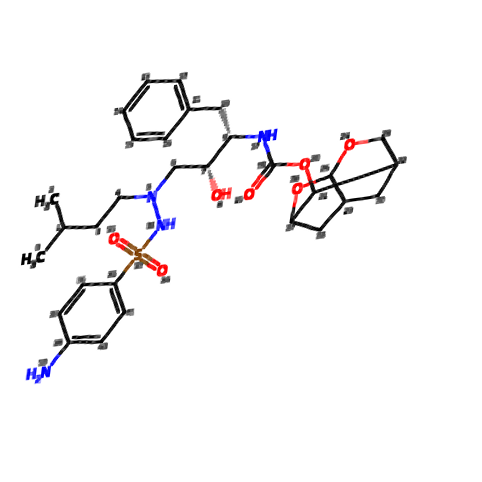 CC(C)CCN(C[C@@H](O)[C@H](Cc1ccccc1)NC(=O)OC1C2COC3OC1CC3C2)NS(=O)(=O)c1ccc(N)cc1